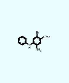 COc1cc(N)c(Nc2ccccc2)cc1Br